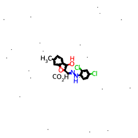 Cc1ccc2c(O)c(C(=NNc3ccc(Cl)cc3Cl)C(=O)O)oc2c1